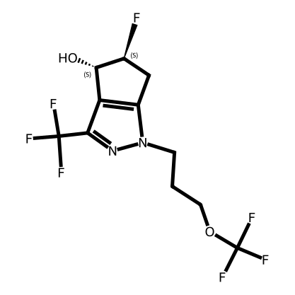 O[C@H]1c2c(C(F)(F)F)nn(CCCOC(F)(F)F)c2C[C@@H]1F